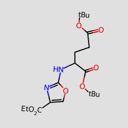 CCOC(=O)c1coc(NC(CCC(=O)OC(C)(C)C)C(=O)OC(C)(C)C)n1